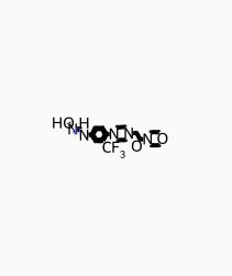 O=C(CN1CCN(c2ccc(N/C=N/O)cc2C(F)(F)F)CC1)N1CCOCC1